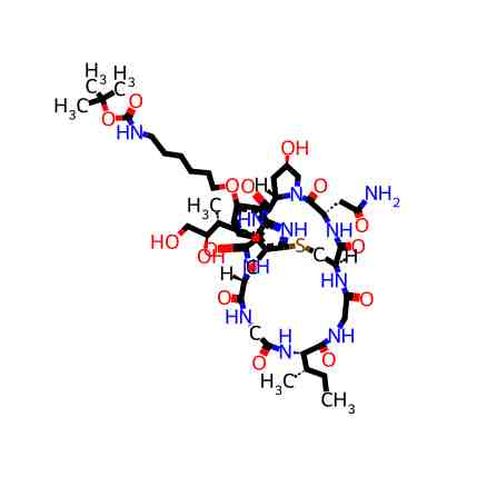 CC[C@H](C)[C@@H]1NC(=O)CNC(=O)[C@H]2Cc3c([nH]c4cc(OCCCCCCNC(=O)OC(C)(C)C)ccc34)SC[C@H](NC(=O)CNC1=O)C(=O)N[C@@H](CC(N)=O)C(=O)N1C[C@H](O)C[C@H]1C(=O)N[C@@H]([C@@H](C)[C@@H](O)CO)C(=O)N2